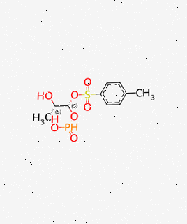 Cc1ccc(S(=O)(=O)O[C@H](O[PH](=O)O)[C@H](C)O)cc1